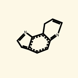 C1=CN=c2ccc3c(c2C1)N=CC=3